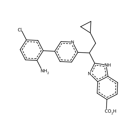 Nc1ccc(Cl)cc1-c1ccc(C(CC2CC2)c2nc3cc(C(=O)O)ccc3[nH]2)nc1